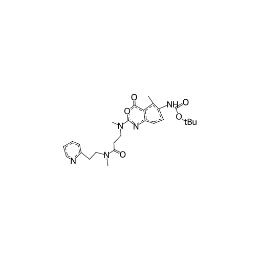 Cc1c(NC(=O)OC(C)(C)C)ccc2nc(N(C)CCC(=O)N(C)CCc3ccccn3)oc(=O)c12